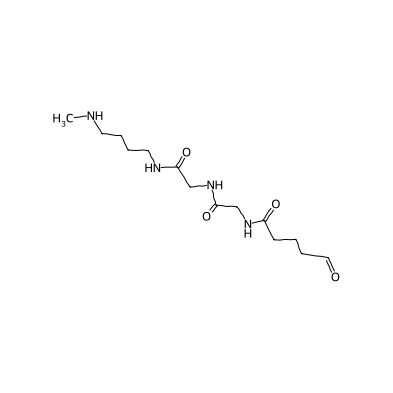 CNCCCCNC(=O)CNC(=O)CNC(=O)CCCC=O